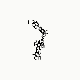 COc1cc2c(cc1OCCCOc1c(Br)c3c(c(F)c1OC)CN(C(=O)CC(C)C(=O)O)C3C)CN(C(=O)CC(C)C(=O)O)C2